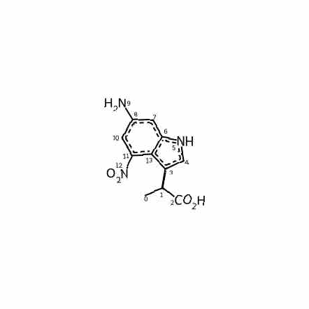 CC(C(=O)O)c1c[nH]c2cc(N)cc([N+](=O)[O-])c12